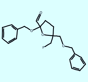 O=CC1(OCc2ccccc2)CCC(CF)(COCc2ccccc2)O1